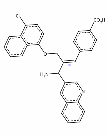 NC(/C(=C/c1ccc(C(=O)O)cc1)COc1ccc(Cl)c2ccccc12)c1cnc2ccccc2c1